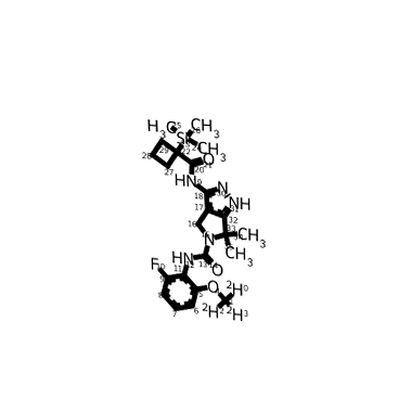 [2H]C([2H])([2H])Oc1cccc(F)c1NC(=O)N1Cc2c(NC(=O)C3([Si](C)(C)C)CCC3)n[nH]c2C1(C)C